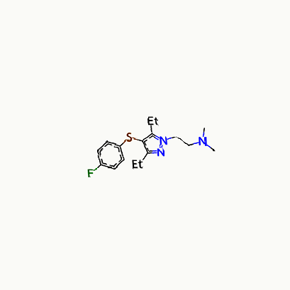 CCc1nn(CCN(C)C)c(CC)c1Sc1ccc(F)cc1